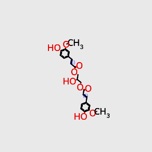 COc1cc(/C=C/C(=O)OCC(O)COC(=O)/C=C/c2ccc(O)c(OC)c2)ccc1O